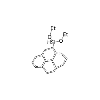 CCO[SiH](OCC)c1cc2cccc3ccc4cccc1c4c32